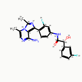 Cc1cnc(N)c2c(-c3ccc(NC(=O)[C@H](O)c4cccc(F)c4)cc3F)nc(C)n12